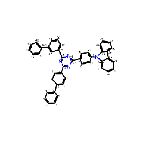 C1=CC(c2ccccc2)CC=C1c1nc(-c2ccc(-n3c4ccccc4c4ccccc43)cc2)nc(-c2cccc(-c3ccccc3)c2)n1